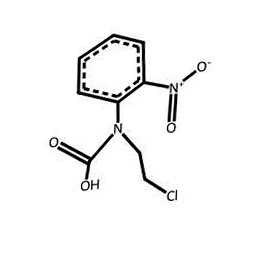 O=C(O)N(CCCl)c1ccccc1[N+](=O)[O-]